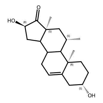 C[C@H]1C[C@]2(C)C(=O)[C@H](O)CC2C2CC=C3C[C@@H](O)CC[C@]3(C)C21